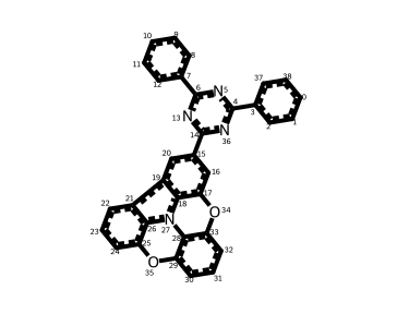 c1ccc(-c2nc(-c3ccccc3)nc(-c3cc4c5c(c3)c3cccc6c3n5-c3c(cccc3O4)O6)n2)cc1